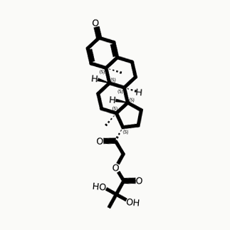 CC(O)(O)C(=O)OCC(=O)[C@H]1CC[C@H]2[C@@H]3CCC4=CC(=O)C=C[C@]4(C)[C@H]3CC[C@]12C